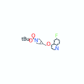 CC(C)(C)OC(=O)N1CC2C(COc3ccnc4ccc(F)cc34)C2C1